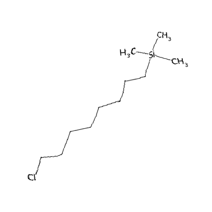 C[Si](C)(C)CCCCCCCCCl